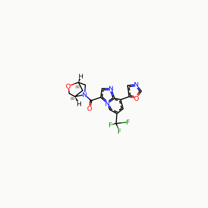 O=C(c1cnc2c(-c3cnco3)cc(C(F)(F)F)cn12)N1C[C@@H]2C[C@H]1CO2